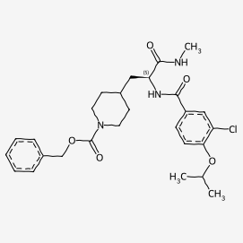 CNC(=O)[C@H](CC1CCN(C(=O)OCc2ccccc2)CC1)NC(=O)c1ccc(OC(C)C)c(Cl)c1